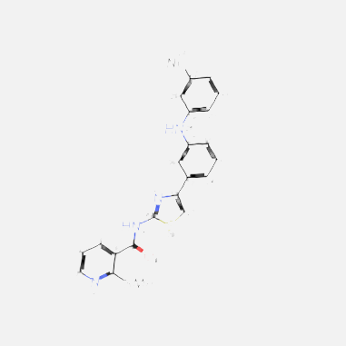 CSc1ncccc1C(=O)Nc1nc(-c2cccc(Nc3cccc(C#N)c3)c2)cs1